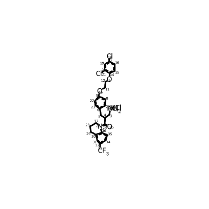 Cl.Cl.NCC(Cc1ccc(OCCOc2ccc(Cl)cc2Cl)cc1)C(=O)N1CCCc2cc(C(F)(F)F)ccc21